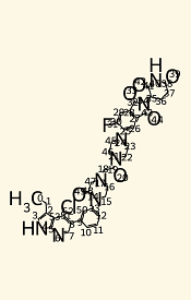 CCc1c[nH]c2ncc(-c3cccc(N4CCN(CC(=O)N5CCN(c6cc7c(cc6F)C(=O)N(C6CCC(=O)NC6=O)C7=O)CC5)CC4=O)c3)c(Cl)c12